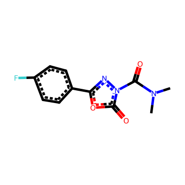 CN(C)C(=O)n1nc(-c2ccc(F)cc2)oc1=O